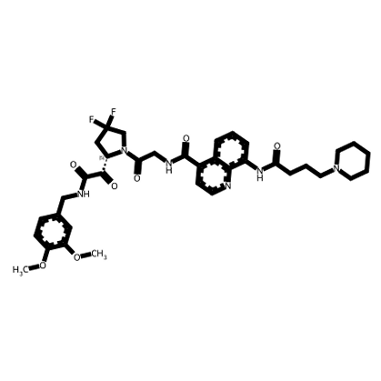 COc1ccc(CNC(=O)C(=O)[C@@H]2CC(F)(F)CN2C(=O)CNC(=O)c2ccnc3c(NC(=O)CCCN4CCCCC4)cccc23)cc1OC